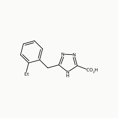 CCc1ccccc1Cc1nnc(C(=O)O)[nH]1